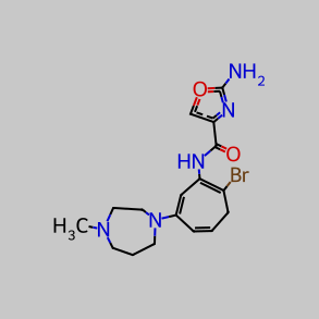 CN1CCCN(C2=CC(NC(=O)c3coc(N)n3)=C(Br)CC=C2)CC1